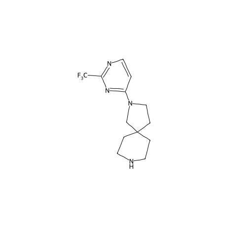 FC(F)(F)c1nccc(N2CCC3(CCNCC3)C2)n1